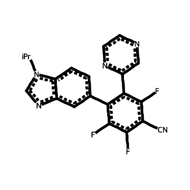 CC(C)n1cnc2cc(-c3c(F)c(F)c(C#N)c(F)c3-c3cnccn3)ccc21